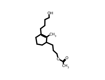 CC(=O)OCCCC1CCCC(CCCCO)=C1C